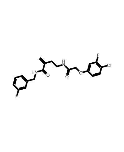 C=C(CCNC(=O)COc1ccc(Cl)c(F)c1)C(=O)NCc1cccc(F)c1